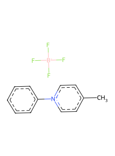 Cc1cc[n+](-c2ccccc2)cc1.F[B-](F)(F)F